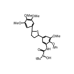 CCCOc1c(NC(=O)N(O)C(C)(C)C)cc(C2CCC(c3cc(OC)c(OC)c(OC)c3)S2)cc1OC